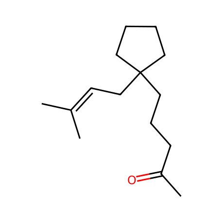 CC(=O)CCCC1(CC=C(C)C)CCCC1